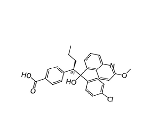 CCC[C@H](c1ccc(C(=O)O)cc1)C(O)(c1ccc(Cl)cc1)c1cccc2nc(OC)ccc12